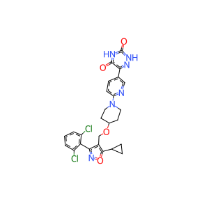 O=c1[nH]nc(-c2ccc(N3CCC(OCc4c(-c5c(Cl)cccc5Cl)noc4C4CC4)CC3)nc2)c(=O)[nH]1